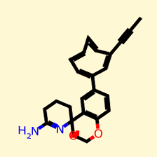 CC#CC1=C/C(c2ccc3c(c2)C2(CCCC(N)=N2)C2(COC2)CO3)=C\C=C\C=C\1